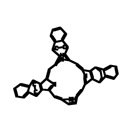 c1ccc2c(c1)C1CCC2C2=C1c1cc3ccc(cc4nc(cc5[nH]c(cc2n1)c1c5C2CCC1c1ccccc12)C1=C4C2CCC1c1ccccc12)[nH]3